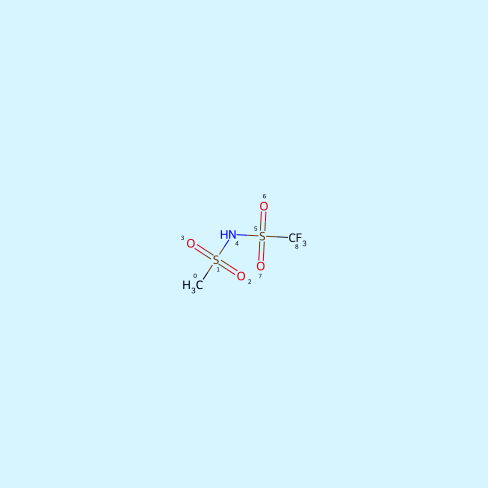 CS(=O)(=O)NS(=O)(=O)C(F)(F)F